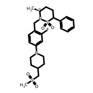 C[C@H]1CCC(c2ccccc2)S(=O)(=O)N1Cc1ccc(N2CCC(CS(C)(=O)=O)CC2)cc1F